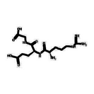 N=C(N)NCCC[C@H](N)C(=O)N[C@@H](CCC(=O)O)C(=O)NCC(=O)O